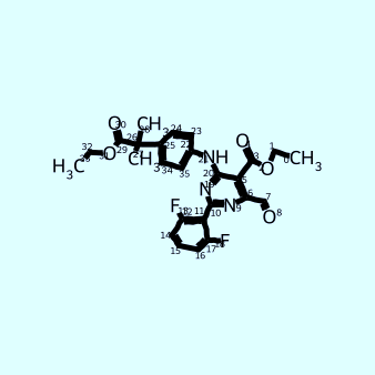 CCOC(=O)c1c(C=O)nc(-c2c(F)cccc2F)nc1Nc1ccc(C(C)(C)C(=O)OCC)cc1